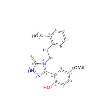 COc1ccc(O)c(-c2n[nH]c(=S)n2CCc2ccccc2C(=O)O)c1